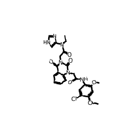 CCN(C(=O)Cn1c(=O)c2ccccc2n(CC(=O)Nc2cc(Cl)c(OC)cc2OC)c1=O)c1c[nH]cn1